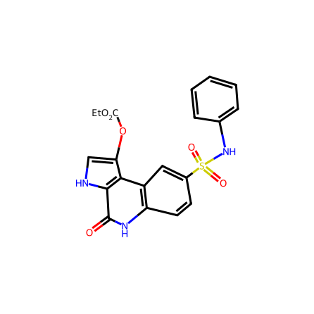 CCOC(=O)Oc1c[nH]c2c(=O)[nH]c3ccc(S(=O)(=O)Nc4ccccc4)cc3c12